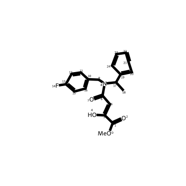 COC(=O)/C(O)=C/C(=O)N(Cc1ccc(F)cc1)C(C)c1ccccc1